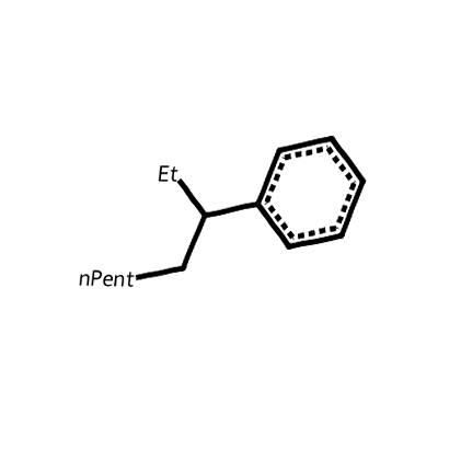 [CH2]CC(CCCCCC)c1ccccc1